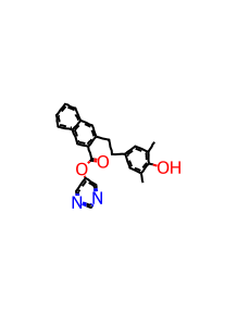 Cc1cc(CCc2cc3ccccc3cc2C(=O)Oc2cncnc2)cc(C)c1O